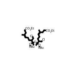 CCCCOC(C)(OC(C)(OCCCC)C(CCl)CCC=C(C)CCC(=O)OCC)C(CCl)CCC=C(C)CCC(=O)OCC